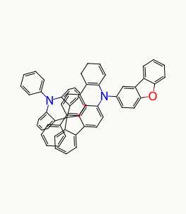 C1=CC(N(c2ccc3c(c2)C2(c4ccccc4-3)c3ccccc3N(c3ccccc3)c3ccccc32)c2ccc3oc4ccccc4c3c2)=C(c2ccc(-c3ccccc3)cc2)CC1